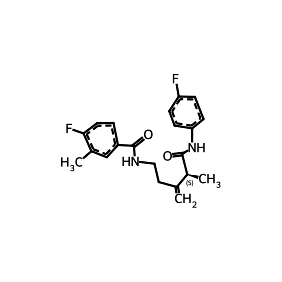 C=C(CCNC(=O)c1ccc(F)c(C)c1)[C@H](C)C(=O)Nc1ccc(F)cc1